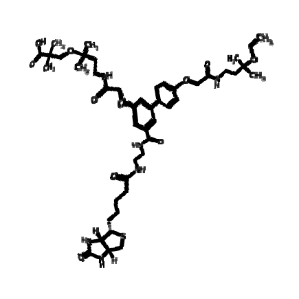 CCOC(C)(C)CCNC(=O)COc1ccc(-c2cc(OCC(=O)NCCC(C)(C)OCC(C)(C)C(=O)O)cc(C(=O)NCCNC(=O)CCCC[C@@H]3SC[C@@H]4NC(=O)N[C@@H]43)c2)cc1